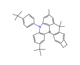 Cc1cc2c3c(c1)C(C)(C)c1cc4c(cc1B3c1cc(C(C)(C)C)ccc1N2c1ccc(C(C)(C)C)cc1)CC4